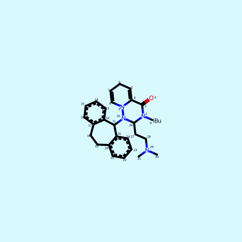 CCC(C)N1C(=O)C2=CCC=CN2N(C2c3ccccc3CCc3ccccc32)C1CCN(C)C